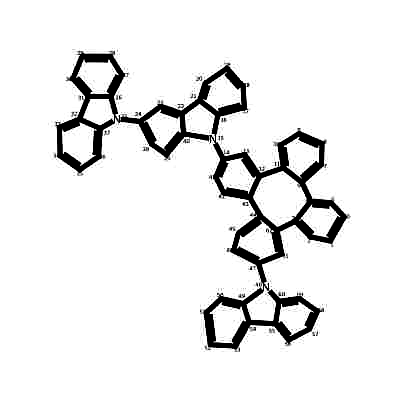 c1ccc2c(c1)-c1ccccc1-c1cc(-n3c4ccccc4c4cc(-n5c6ccccc6c6ccccc65)ccc43)ccc1-c1ccc(-n3c4ccccc4c4ccccc43)cc1-2